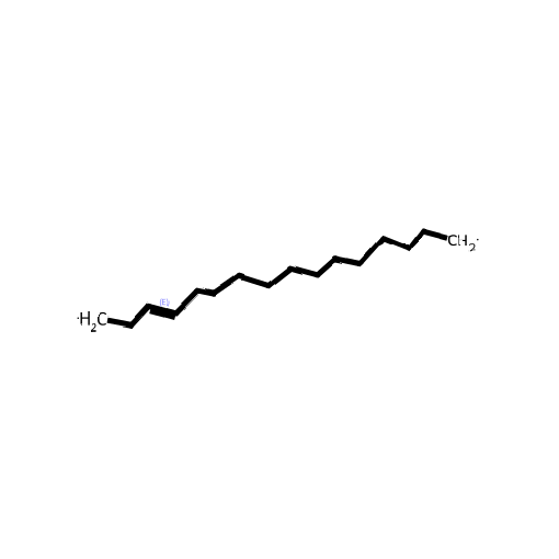 [CH2]C/C=C/CCCCCCCCCCC[CH2]